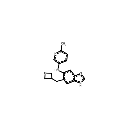 Cc1ccc(Nc2cc3nc[nH]c3cc2CC2COC2)nn1